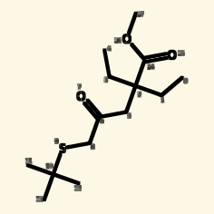 CCC(CC)(CC(=O)CSC(C)(C)C)C(=O)OC